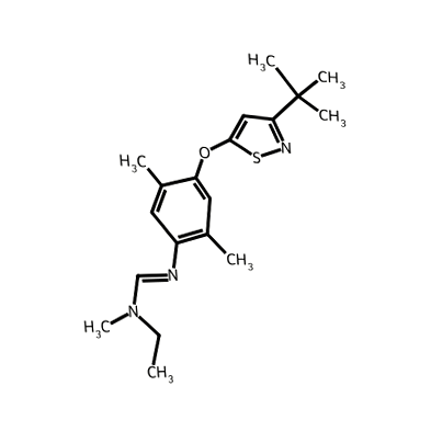 CCN(C)C=Nc1cc(C)c(Oc2cc(C(C)(C)C)ns2)cc1C